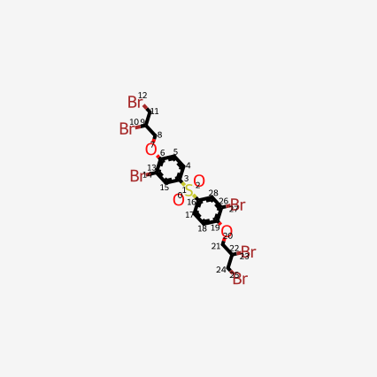 O=S(=O)(c1ccc(OCC(Br)CBr)c(Br)c1)c1ccc(OCC(Br)CBr)c(Br)c1